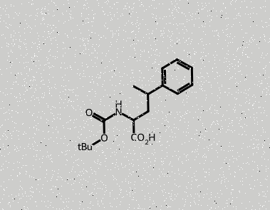 CC(CC(NC(=O)OC(C)(C)C)C(=O)O)c1ccccc1